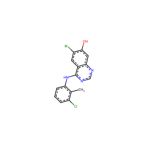 Cc1c(Cl)cccc1Nc1ncnc2cc(O)c(Br)cc12